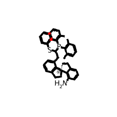 Cc1cccc(C)c1P(c1c(C)cccc1C)C(Cc1cccc2c1[C@]1(CCc3cccc(N)c31)CC2)Sc1ccccc1